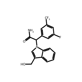 NC(=O)C(c1cc(F)cc(C(F)(F)F)c1)n1cc(CO)c2ccccc21